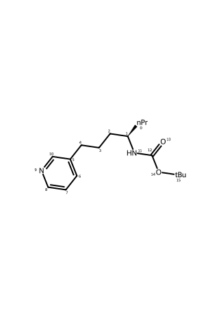 CCC[C@H](CCCc1cccnc1)NC(=O)OC(C)(C)C